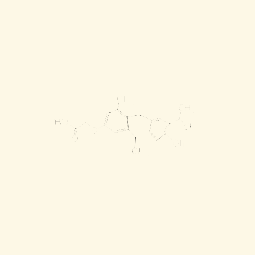 CCc1cc(OCC(=O)O)cc(C)c1Cc1ccc(O)c(C(C)C)c1